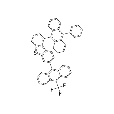 FC(F)(F)c1c2ccccc2c(-c2ccc3c(c2)sc2cccc(-c4c5c(c(-c6ccccc6)c6ccccc46)C=CCC5)c23)c2ccccc12